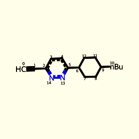 C#Cc1ccc(C2CCC(CCCC)CC2)nn1